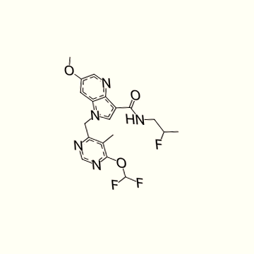 COc1cnc2c(C(=O)NCC(C)F)cn(Cc3ncnc(OC(F)F)c3C)c2c1